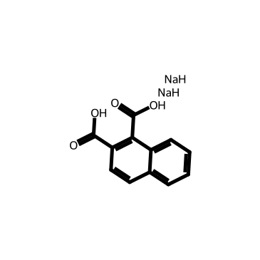 O=C(O)c1ccc2ccccc2c1C(=O)O.[NaH].[NaH]